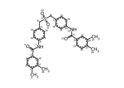 Cc1ccc(C(=O)Nc2ccc(CS(=O)(=O)Cc3ccc(NC(=O)c4ccc(C)c(C)c4)cc3)cc2)cc1C